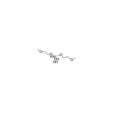 COCC[O][AlH][O]CCOC.[HH].[HH]